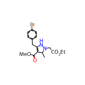 CCOC(=O)CN1NC(Cc2ccc(Br)cc2)=C(C(=O)OC)C1C